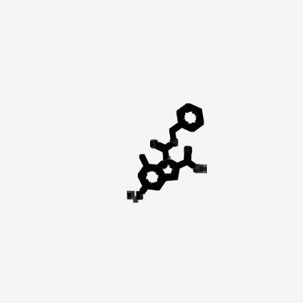 Bc1cc(C)c2c(c1)cc(C(=O)O)n2C(=O)OCc1ccccc1